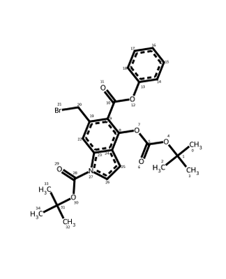 CC(C)(C)OC(=O)Oc1c(C(=O)Oc2ccccc2)c(CBr)cc2c1ccn2C(=O)OC(C)(C)C